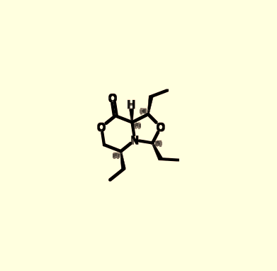 CC[C@H]1COC(=O)[C@@H]2[C@@H](CC)O[C@@H](CC)N12